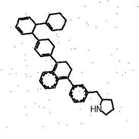 C1=CC(C2=CCCCC2)C(C2=CC=C(C3=c4ccccc4=C(c4cccc(CC5CCCN5)c4)CC3)CC2)C=C1